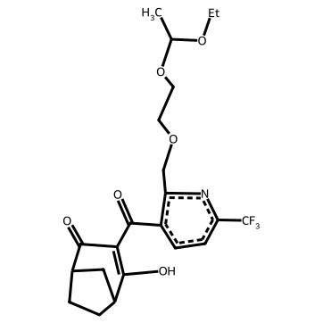 CCOC(C)OCCOCc1nc(C(F)(F)F)ccc1C(=O)C1=C(O)C2CCC(C2)C1=O